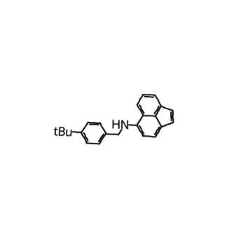 CC(C)(C)c1ccc(CNc2ccc3c4c(cccc24)C=C3)cc1